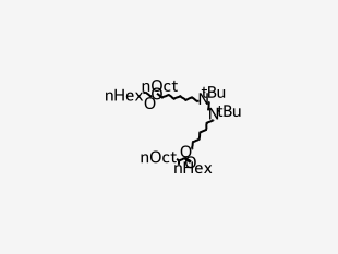 CCCCCCCCC(CCCCCC)C(=O)OCCCCCCCN(CCN(CCCCCCCOC(=O)C(CCCCCC)CCCCCCCC)C(C)(C)C)C(C)(C)C